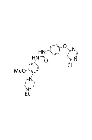 CCN1CCN(c2ccc(NC(=O)Nc3ccc(Oc4cc(Cl)ncn4)cc3)cc2OC)CC1